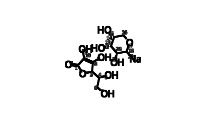 O=C1O[C@H]([C@@H](O)CO)C(O)=C1O.O[C@@H]1[C@H](O)CO[CH]([Na])[C@H]1O